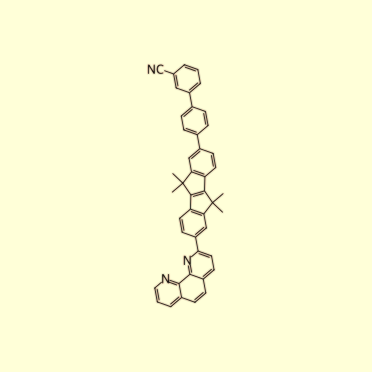 CC1(C)C2=C(c3ccc(-c4ccc(-c5cccc(C#N)c5)cc4)cc31)C(C)(C)c1cc(-c3ccc4ccc5cccnc5c4n3)ccc12